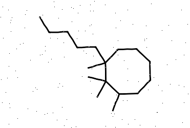 CCCCCC1(C)CCCCCC(C)C1(C)C